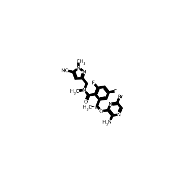 C[C@@H](Oc1nc(Br)cnc1N)c1cc(F)cc(F)c1C(=O)N(C)Cc1cc(C#N)n(C)n1